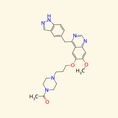 COc1cc2ncnc(Cc3ccc4[nH]ncc4c3)c2cc1OCCCN1CCN(C(C)=O)CC1